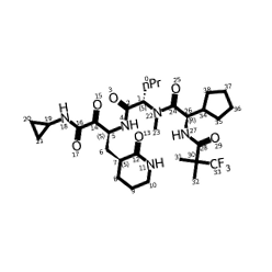 CCC[C@@H](C(=O)N[C@@H](C[C@@H]1CCCNC1=O)C(=O)C(=O)NC1CC1)N(C)C(=O)[C@H](NC(=O)C(C)(C)C(F)(F)F)C1CCCC1